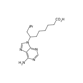 CC(C)CC(CCCCCC(=O)O)n1cnc2c(N)ncnc21